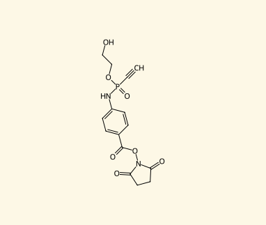 C#CP(=O)(Nc1ccc(C(=O)ON2C(=O)CCC2=O)cc1)OCCO